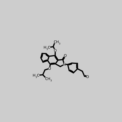 CC(C)COc1c2c(c(OC(C)C)c3ccccc13)C(=O)N(c1ccc(CC=O)cc1)C2